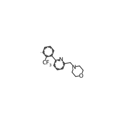 FC(F)(F)c1[c]cccc1-c1cccc(CN2CCOCC2)n1